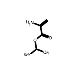 C=C(N)C(=O)OC(O)CCC